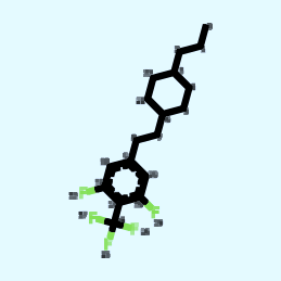 CCCC1CCC(CCc2cc(F)c(C(F)(F)F)c(F)c2)CC1